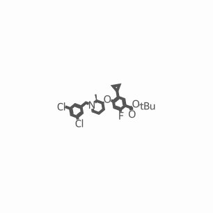 C[C@H]1[C@@H](Oc2cc(F)c(C(=O)OC(C)(C)C)cc2C2CC2)CCCN1Cc1cc(Cl)cc(Cl)c1